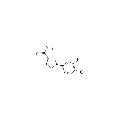 NC(=O)N1C[CH][C@H](c2ccc(Cl)c(F)c2)C1